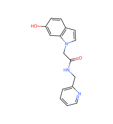 O=C(Cn1ccc2ccc(O)cc21)NCc1ccccn1